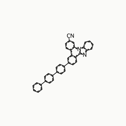 N#Cc1ccc2c3cc(-c4ccc(-c5ccc(-c6ccccc6)cc5)cc4)ccc3c3nc4ccccc4n3c2c1